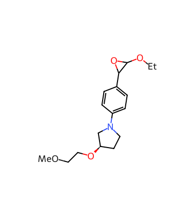 CCOC1OC1c1ccc(N2CC[C@@H](OCCOC)C2)cc1